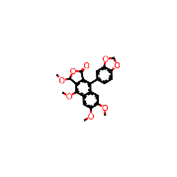 COc1cc2c(OC)c3c(c(-c4ccc5c(c4)OCO5)c2cc1OC)C(=O)OC3OC